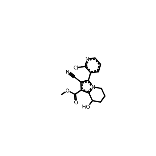 COC(=O)c1c(C#N)c(-c2cccnc2Cl)n2c1C(O)CCC2